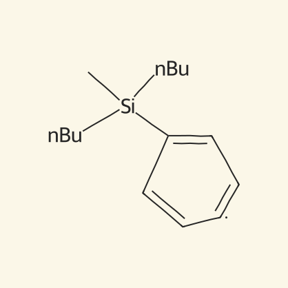 CCCC[Si](C)(CCCC)c1cc[c]cc1